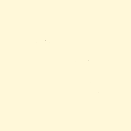 c1ccc2c(N(c3ccc(-c4ccc(-n5c6ccccc6c6ccccc65)cc4)cc3)c3ccc4c(ccc5c6ccccc6oc45)c3)cccc2c1